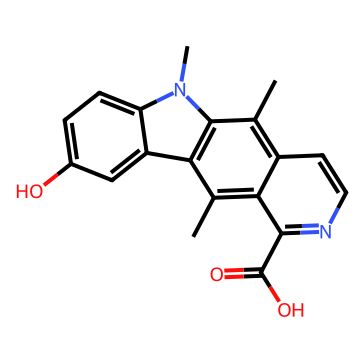 Cc1c2c(C(=O)O)nccc2c(C)c2c1c1cc(O)ccc1n2C